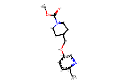 CC(C)(C)OC(=O)N1CCC(COc2ccc([N+](=O)[O-])nc2)CC1